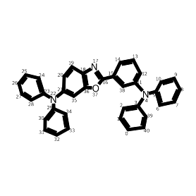 c1ccc(N(c2ccccc2)c2cccc(-c3nc4ccc(N(c5ccccc5)c5ccccc5)cc4o3)c2)cc1